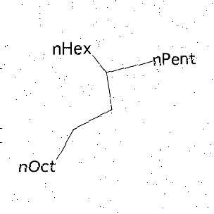 [CH2]CCCCC(CCCCCC)CCCCCCCCCC